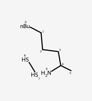 CCCCCCCC(C)N.SS